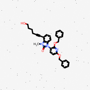 Cn1c(=O)n(-c2ccc(OCc3ccccc3)nc2OCc2ccccc2)c2cccc(C#CCCCCO)c21